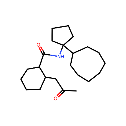 CC(=O)CC1CCCCC1C(=O)NC1(C2CCCCCCC2)CCCC1